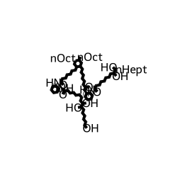 CCCCCCCCC1CC(CCCCCCC(=O)C[C@@H]2CCCC[C@@H]2NC(=O)CCCCCCCC(O)C(O)CCCCCCC)C(CCCCCCC(=O)N[C@H]2CCCC[C@H]2NC(=O)CCCCCCCC(O)C(O)CCCCCCO)CC1CCCCCCCC